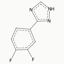 Fc1ccc(-c2nc[nH]n2)cc1F